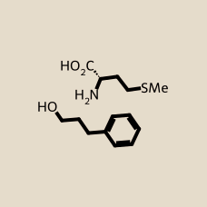 CSCC[C@H](N)C(=O)O.OCCCc1ccccc1